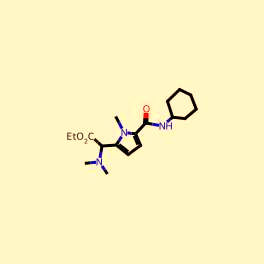 CCOC(=O)C(c1ccc(C(=O)NC2CCCCC2)n1C)N(C)C